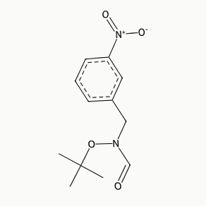 CC(C)(C)ON(C=O)Cc1cccc([N+](=O)[O-])c1